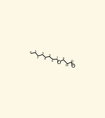 CCCCCCCCOCCC=O